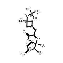 C=C/C=C\[C@](C)(/N=C(/CN1CC(C)(O[Si](C)(C)C(C)(C)C)C1)C(=N)OC)C(C)N